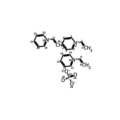 C=C[n+]1ccccc1.C=C[n+]1ccccc1.C=C[n+]1ccccc1.O=P([O-])([O-])[O-]